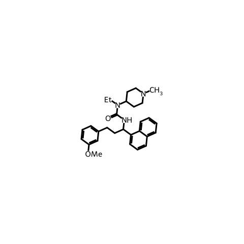 CCN(C(=O)NC(CCc1cccc(OC)c1)c1cccc2ccccc12)C1CCN(C)CC1